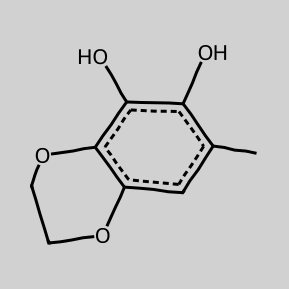 Cc1cc2c(c(O)c1O)OCCO2